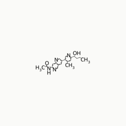 CCC[C@@H](O)c1cc(C)c(-c2cnc3cc(NC(C)=O)ncc3c2)cn1